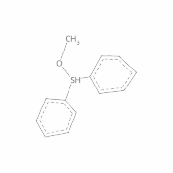 CO[SH](c1ccccc1)c1ccccc1